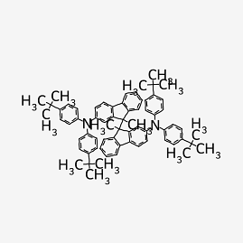 CC(C)(C)c1ccc(N(c2ccc(C(C)(C)C)cc2)c2ccc3c(c2)C(C)(C2(C)c4ccccc4-c4ccc(N(c5ccc(C(C)(C)C)cc5)c5ccc(C(C)(C)C)cc5)cc42)c2ccccc2-3)cc1